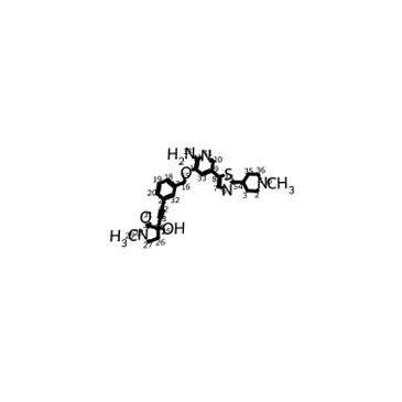 CN1CCC(c2ncc(-c3cnc(N)c(OCc4cccc(C#CC5(O)CCN(C)C5=O)c4)c3)s2)CC1